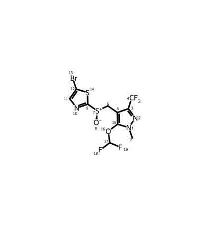 Cn1nc(C(F)(F)F)c(C[S@@+]([O-])c2ncc(Br)s2)c1OC(F)F